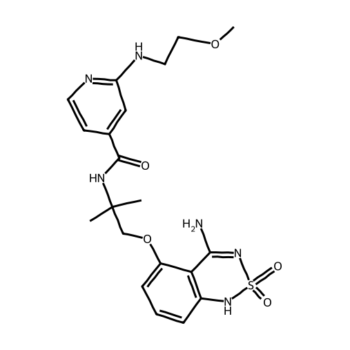 COCCNc1cc(C(=O)NC(C)(C)COc2cccc3c2C(N)=NS(=O)(=O)N3)ccn1